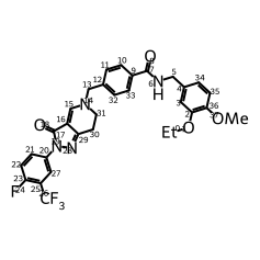 CCOc1cc(CNC(=O)c2ccc(CN3C=C4C(=O)N(c5ccc(F)c(C(F)(F)F)c5)N=C4CC3)cc2)ccc1OC